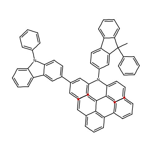 CC1(c2ccccc2)c2ccccc2-c2ccc(N(c3cccc(-c4ccc5c(c4)c4ccccc4n5-c4ccccc4)c3)c3ccccc3-c3cccc4cccc(-c5ccccc5)c34)cc21